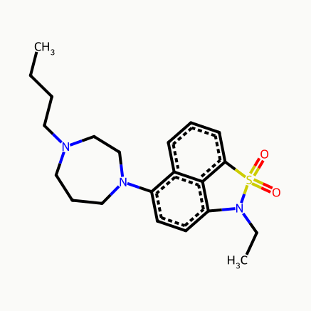 CCCCN1CCCN(c2ccc3c4c(cccc24)S(=O)(=O)N3CC)CC1